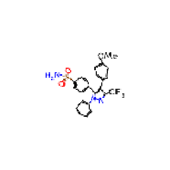 COc1ccc(-c2c(C(F)(F)F)nn(-c3ccccc3)c2-c2ccc(S(N)(=O)=O)cc2)cc1